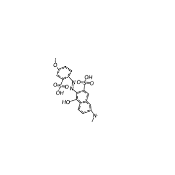 C[N]c1ccc2c(O)c(N=Nc3ccc(OC)cc3S(=O)(=O)O)c(S(=O)(=O)O)cc2c1